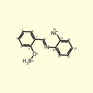 BOc1ccccc1/C=N/c1ccccc1C#N